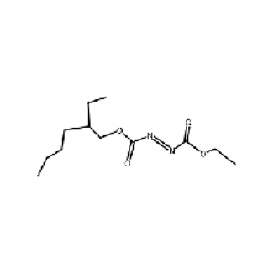 CCCCC(CC)COC(=O)N=NC(=O)OCC